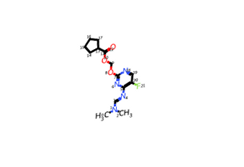 CN(C)C=Nc1nc(OCOC(=O)C2CCCC2)ncc1F